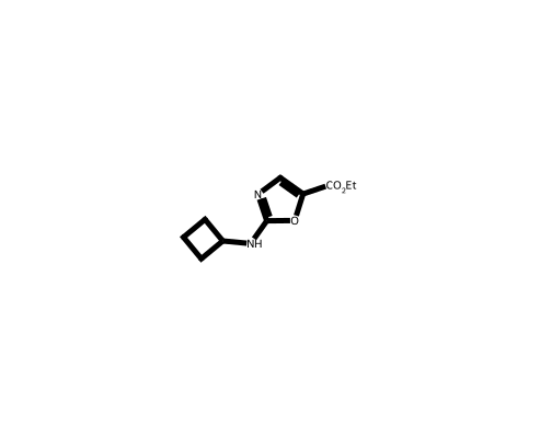 CCOC(=O)c1cnc(NC2CCC2)o1